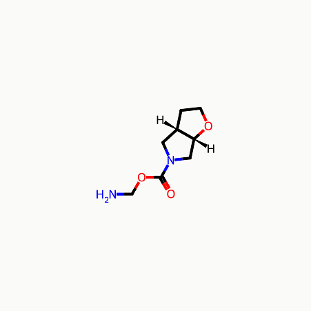 NCOC(=O)N1C[C@@H]2CCO[C@@H]2C1